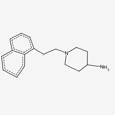 NC1CCN(C[CH]c2cccc3ccccc23)CC1